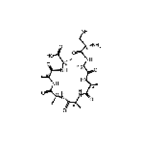 C[C@H](NC(=O)[C@H](C)NC(=O)[C@H](C)NC(=O)[C@H](C)NC(=O)[C@H](C)NC(=O)[C@H](C)NC(=O)[C@@H](N)CS)C(=O)O